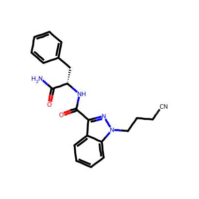 N#CCCCn1nc(C(=O)N[C@@H](Cc2ccccc2)C(N)=O)c2ccccc21